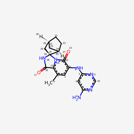 Cc1cc(Nc2cc(N)ncn2)c(=O)n2c1C(=O)N[C@@]21C[C@H]2CC[C@@H]1C2